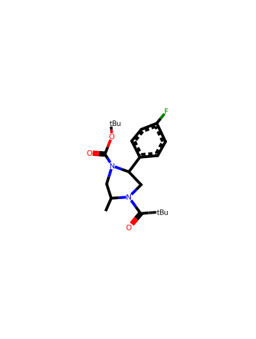 CC1CN(C(=O)OC(C)(C)C)C(c2ccc(F)cc2)CN1C(=O)C(C)(C)C